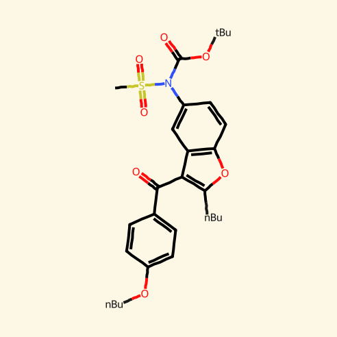 CCCCOc1ccc(C(=O)c2c(CCCC)oc3ccc(N(C(=O)OC(C)(C)C)S(C)(=O)=O)cc23)cc1